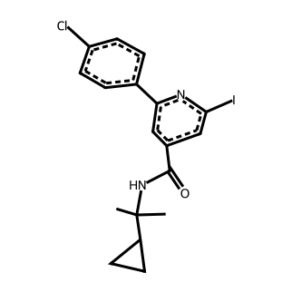 CC(C)(NC(=O)c1cc(I)nc(-c2ccc(Cl)cc2)c1)C1CC1